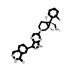 NC[C@]1(c2ccccc2F)[C@@H]2CCN(c3cnc4c(-c5ccc6cn[nH]c(=O)c6c5)n[nH]c4n3)C[C@@H]21